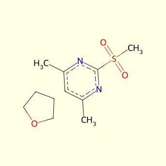 C1CCOC1.Cc1cc(C)nc(S(C)(=O)=O)n1